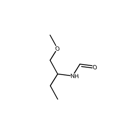 CCC(COC)NC=O